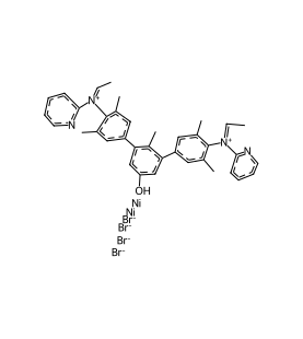 CC=[N+](c1ccccn1)c1c(C)cc(-c2cc(O)cc(-c3cc(C)c([N+](=CC)c4ccccn4)c(C)c3)c2C)cc1C.[Br-].[Br-].[Br-].[Br-].[Ni].[Ni]